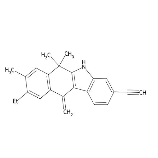 C#Cc1ccc2c3c([nH]c2c1)C(C)(C)c1cc(C)c(CC)cc1C3=C